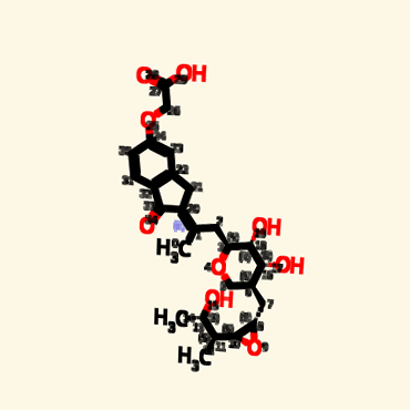 C/C(C[C@@H]1OC[C@H](C[C@@H]2O[C@H]2[C@@H](C)[C@H](C)O)[C@@H](O)[C@H]1O)=C1/Cc2cc(OCC(=O)O)ccc2C1=O